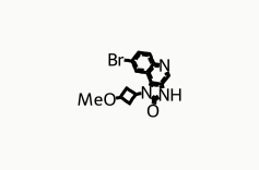 COC1CC(n2c(=O)[nH]c3cnc4ccc(Br)cc4c32)C1